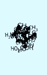 CCn1nc(C)cc1C(=O)Nc1nc2cc(C(N)=O)cc(OCCCN(C)C(=O)OCc3ccc(O[C@@H]4O[C@H](C(=O)O)[C@@H](O)[C@H](O)[C@H]4O)c(NC(=O)CCNC(=O)CCN4C(=O)C=CC4=O)c3)c2n1C/C=C/Cn1c2cc(-c3cc(C)nn3CC)nnc2c2cc(C(N)=O)cc(OC)c21